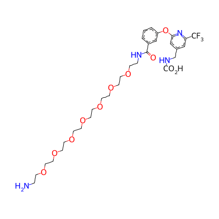 NCCOCCOCCOCCOCCOCCOCCOCCNC(=O)c1cccc(Oc2cc(CNC(=O)O)cc(C(F)(F)F)n2)c1